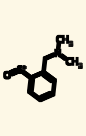 CN(C)Cc1ccccc1[S+]=O